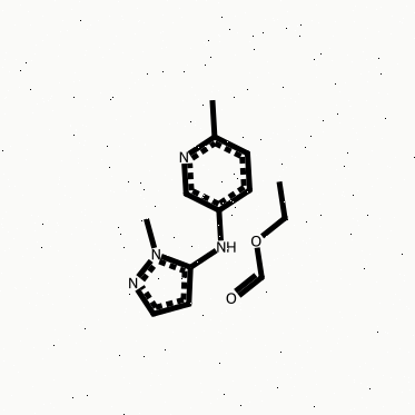 CCOC=O.Cc1ccc(Nc2ccnn2C)cn1